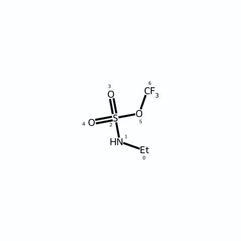 [CH2]CNS(=O)(=O)OC(F)(F)F